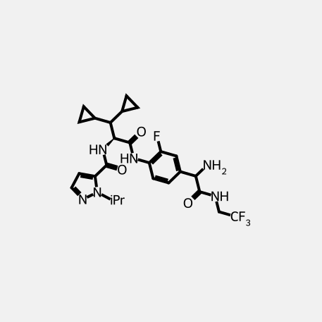 CC(C)n1nccc1C(=O)N[C@H](C(=O)Nc1ccc(C(N)C(=O)NCC(F)(F)F)cc1F)C(C1CC1)C1CC1